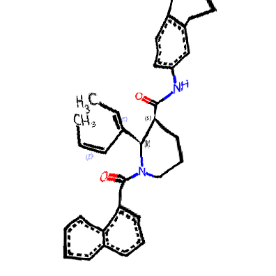 C/C=C\C(=C/C)[C@H]1[C@@H](C(=O)Nc2ccc3c(c2)CCC3)CCCN1C(=O)c1cccc2ccccc12